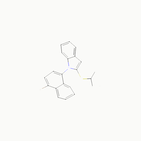 CC(Sc1cc2ccccc2n1-c1ccc(Br)c2ccccc12)C(=O)[O-].[K+]